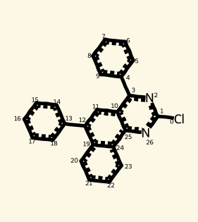 Clc1nc(-c2ccccc2)c2cc(-c3ccccc3)c3ccccc3c2n1